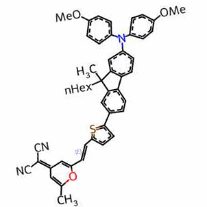 CCCCCCC1(C)c2cc(-c3ccc(/C=C/C4=CC(=C(C#N)C#N)C=C(C)O4)s3)ccc2-c2ccc(N(c3ccc(OC)cc3)c3ccc(OC)cc3)cc21